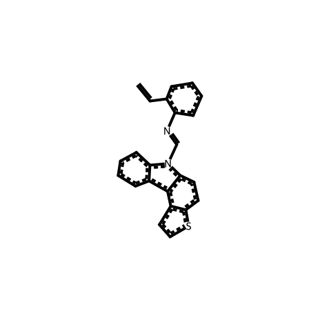 C=Cc1ccccc1/N=C/n1c2ccccc2c2c3ccsc3ccc21